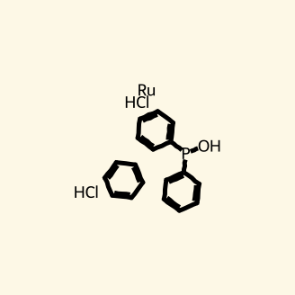 Cl.Cl.OP(c1ccccc1)c1ccccc1.[Ru].c1ccccc1